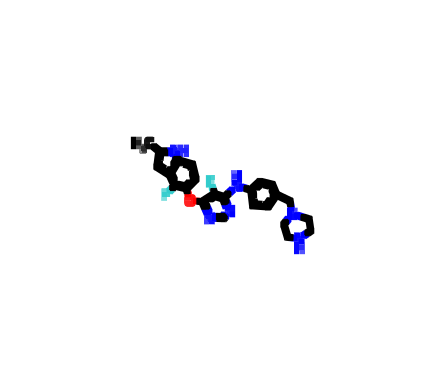 Cc1cc2c(F)c(Oc3ncnc(Nc4ccc(CN5CCNCC5)cc4)c3F)ccc2[nH]1